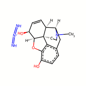 CN1CC[C@]23c4c5ccc(O)c4O[C@H]2[C@@H](O)C=C[C@H]3[C@H]1C5.N=[N+]=N